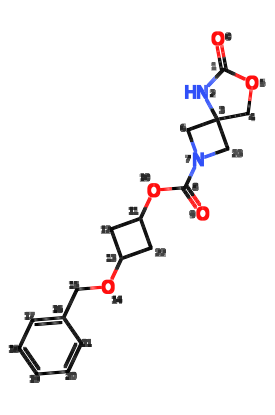 O=C1NC2(CO1)CN(C(=O)OC1CC(OCc3ccccc3)C1)C2